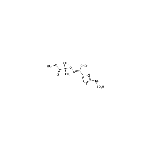 CC(C)(C)OC(=O)C(C)(C)ON=C([C]=O)c1csc(NS(=O)(=O)O)n1